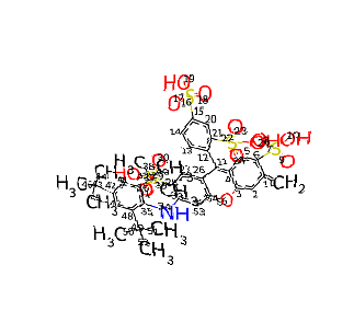 C=c1cc2c(cc1S(=O)(=O)O)=C(c1ccc(S(=O)(=O)O)cc1S(=O)(=O)O)c1cc(S(=O)(=O)O)c(Nc3c(C(C)(C)C)cc(C(C)(C)C)cc3C(C)(C)C)cc1O2